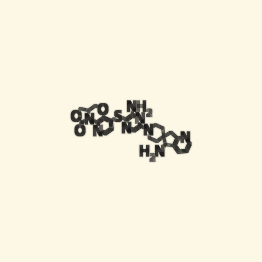 Nc1nc(N2CCC3(CC2)Cc2ncccc2[C@H]3N)cnc1Sc1ccnc2c1OCC1COC(=O)N21